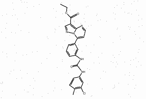 CCOC(=O)c1cnn2c(-c3cccc(NC(=O)Nc4ccc(C)c(Cl)c4)c3)ccnc12